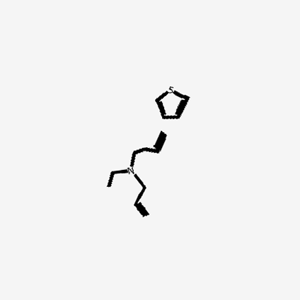 C=CCN(CC)CC=C.c1ccsc1